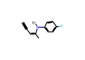 C#C/C=C(/C)N(CC)c1ccc(F)cc1